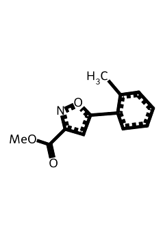 COC(=O)c1cc(-c2ccccc2C)on1